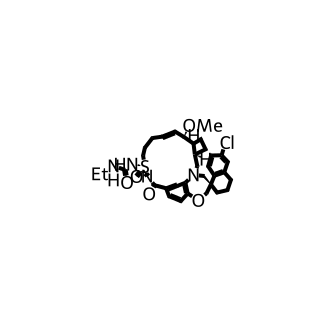 CCNC(=O)N[S@@]1(=O)=NC(=O)c2ccc3c(c2)N(C[C@@H]2CC[C@H]2[C@@H](OC)/C=C/CCC1)C[C@@]1(CCCc2cc(Cl)ccc21)CO3